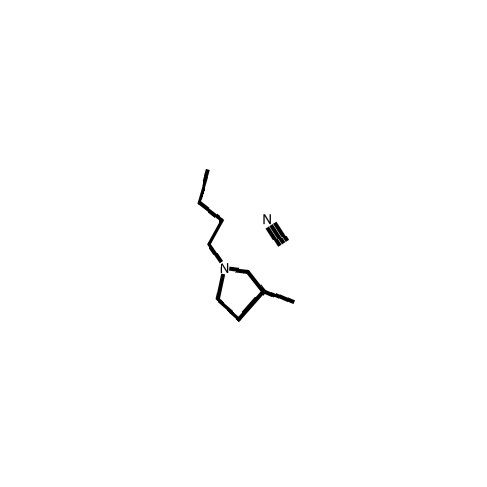 C#N.CCCCN1CCC(C)C1